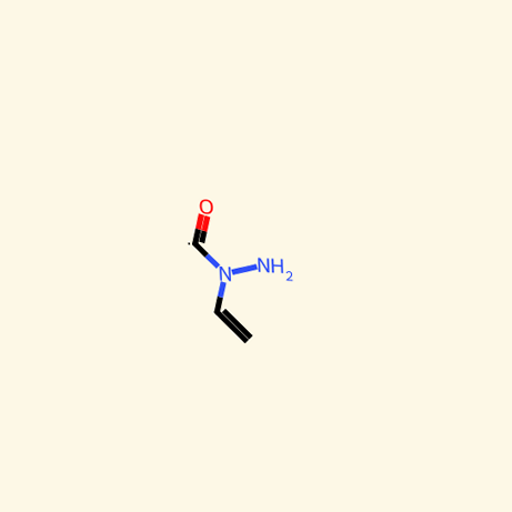 C=CN(N)[C]=O